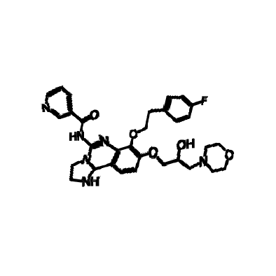 O=C(NC1=Nc2c(ccc(OCC(O)CN3CCOCC3)c2OCCc2ccc(F)cc2)C2NCCN12)c1cccnc1